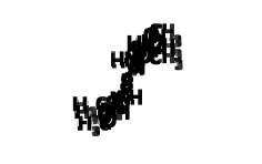 CC[C@@H](C)[C@H](NC(=O)OC)C(=O)N1CCC[C@H]1c1ncc(-c2ccc3cc(-c4cnc5nc([C@@H]6CCCN6C(=O)[C@@H](NC(=O)OC)[C@H](C)CC)[nH]c5c4)ccc3c2)[nH]1